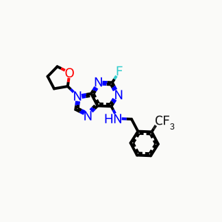 Fc1nc(NCc2ccccc2C(F)(F)F)c2ncn(C3CCCO3)c2n1